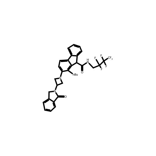 CCCCc1c(N2CC(N3Cc4ccccc4C3=O)C2)ccc2c1C(C(=O)NCC(F)(F)C(F)(F)C(F)(F)F)c1ccccc1-2